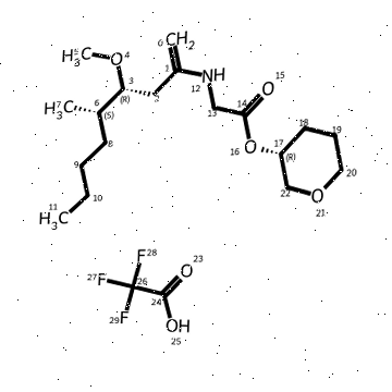 C=C(C[C@@H](OC)[C@@H](C)CCCC)NCC(=O)O[C@@H]1CCCOC1.O=C(O)C(F)(F)F